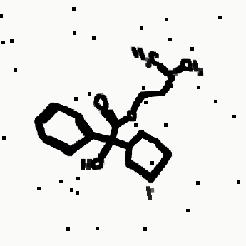 C[S+](C)CCOC(=O)C(O)(c1ccccc1)C1CCCCC1.[I-]